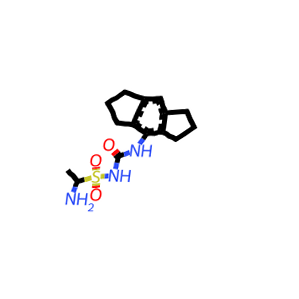 CC(N)S(=O)(=O)NC(=O)Nc1c2c(cc3c1CCC3)CCC2